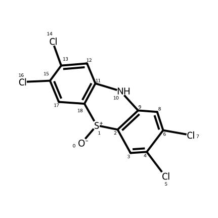 [O-][S+]1c2cc(Cl)c(Cl)cc2Nc2cc(Cl)c(Cl)cc21